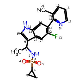 CC(NS(=O)(=O)C1CC1)c1c[nH]c2cc(-c3ncccc3C#N)c(F)cc12